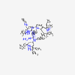 C=C(/N=C(\N=C(/N)N(CCCC)C1CC(C)(C)NC(C)(C)C1)NC(C)(C)CNCCCC)N(CCCC)C1CC(C)(C)NC(C)(C)C1